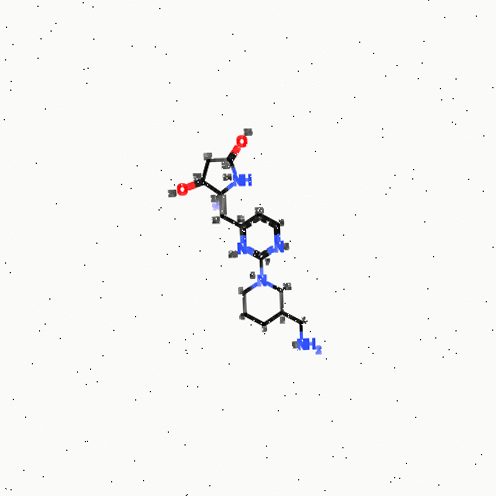 NCC1CCCN(c2nccc(/C=C3\NC(=O)CC3=O)n2)C1